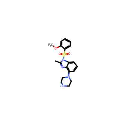 Cc1nc2c(N3CCNCC3)cccc2n1S(=O)(=O)c1ccccc1OC(F)(F)F